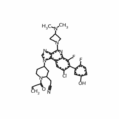 C=CC(=O)N1CCC(n2cnc3c(N4CC(N(C)C)C4)nc4c(F)c(-c5cc(O)ccc5F)c(Cl)cc4c32)CC1CC#N